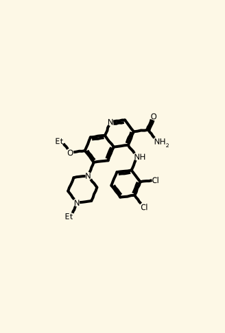 CCOc1cc2ncc(C(N)=O)c(Nc3cccc(Cl)c3Cl)c2cc1N1CCN(CC)CC1